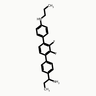 CCCNc1ccc(-c2ccc(-c3ccc(C(N)CC)cc3)c(F)c2F)cc1